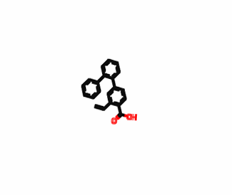 C=Cc1cc(-c2ccccc2-c2ccccc2)ccc1C(=O)O